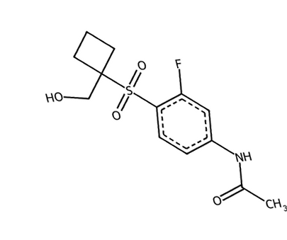 CC(=O)Nc1ccc(S(=O)(=O)C2(CO)CCC2)c(F)c1